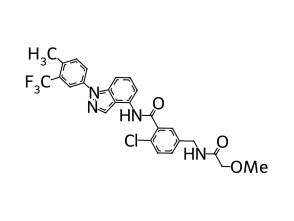 COCC(=O)NCc1ccc(Cl)c(C(=O)Nc2cccc3c2cnn3-c2ccc(C)c(C(F)(F)F)c2)c1